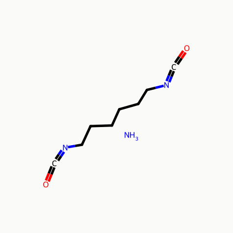 N.O=C=NCCCCCCN=C=O